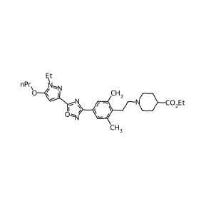 CCCOc1cc(-c2nc(-c3cc(C)c(CCN4CCC(C(=O)OCC)CC4)c(C)c3)no2)nn1CC